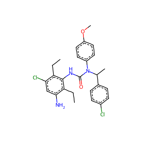 CCc1c(N)cc(Cl)c(CC)c1NC(=O)N(c1ccc(OC)cc1)C(C)c1ccc(Cl)cc1